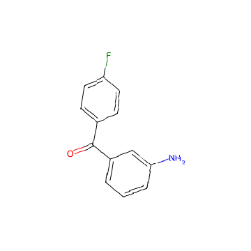 Nc1cccc(C(=O)c2ccc(F)cc2)c1